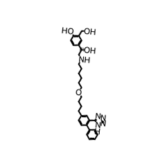 OCc1cc([C@@H](O)CNCCCCCCOCCCCc2ccc(-c3ccccc3)c(-c3nnn[nH]3)c2)ccc1O